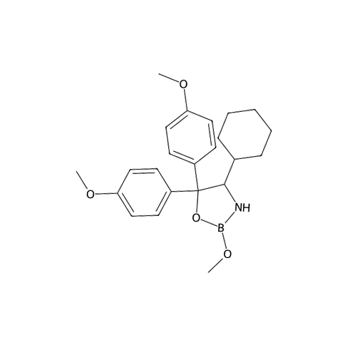 COB1NC(C2CCCCC2)C(c2ccc(OC)cc2)(c2ccc(OC)cc2)O1